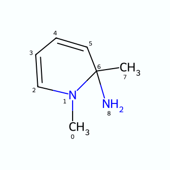 CN1C=CC=CC1(C)N